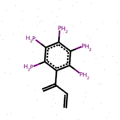 C=CC(=C)c1c(P)c(P)c(P)c(P)c1P